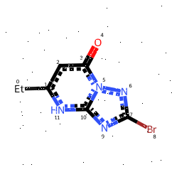 CCc1cc(=O)n2nc(Br)nc2[nH]1